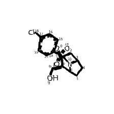 O=C1CC2CCC(/C1=C\O)N2S(=O)(=O)c1ccc(Cl)cc1